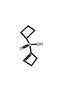 O=P(O)(C1=CCC1)C1CCC1